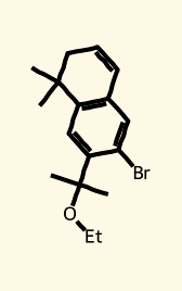 CCOC(C)(C)c1cc2c(cc1Br)C=CCC2(C)C